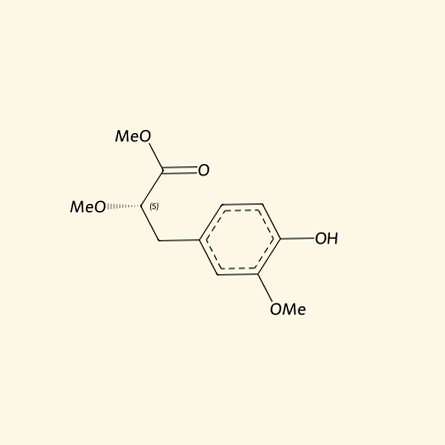 COC(=O)[C@H](Cc1ccc(O)c(OC)c1)OC